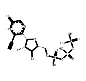 C#Cc1[nH]c(=O)cnc1[C@@H]1O[C@H](COP(=O)(O)OP(=O)(O)OP(=O)(O)O)C(O)[C@@H]1F